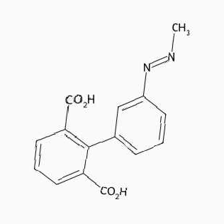 CN=Nc1cccc(-c2c(C(=O)O)cccc2C(=O)O)c1